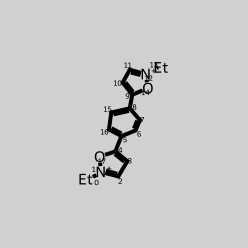 CC[n+]1ccc(-c2ccc(-c3cc[n+](CC)o3)cc2)o1